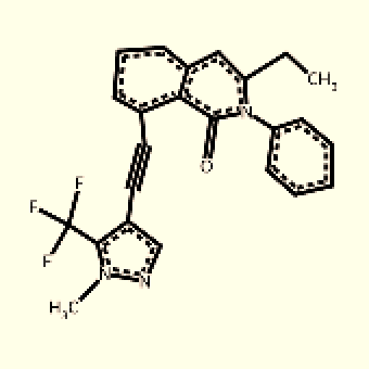 CCc1cc2cccc(C#Cc3cnn(C)c3C(F)(F)F)c2c(=O)n1-c1ccccc1